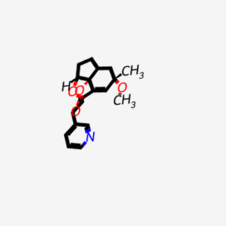 CO[C@]1(C)C=C2C(=O)O[C@@H]3CCC(C1)[C@]23OCCc1cccnc1